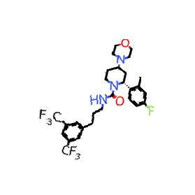 Cc1cc(F)ccc1[C@H]1C[C@@H](N2CCOCC2)CCN1C(=O)NCCCc1cc(C(F)(F)F)cc(C(F)(F)F)c1